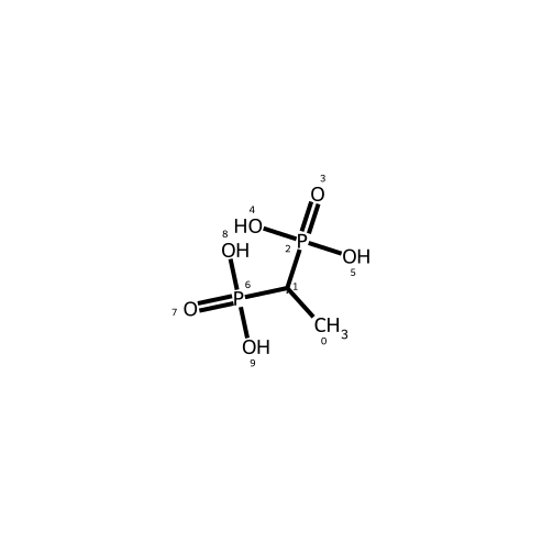 C[C](P(=O)(O)O)P(=O)(O)O